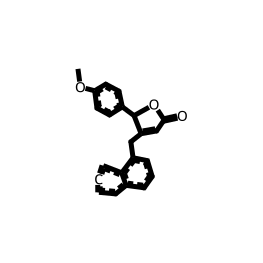 COc1ccc(C2OC(=O)C=C2Cc2cccc3ccccc23)cc1